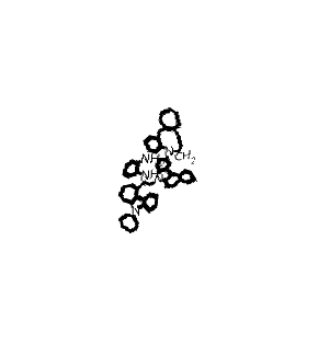 C=C1/C=C\C2=C(CC=CC=C2)Cc2ccccc2N1c1ccc2c(c1)c1c3ccccc3ccc1n2CC(Nc1ccccc1N)C1=c2c(n(C3=CCC=CC=C3)c3ccccc23)=CC=CC1